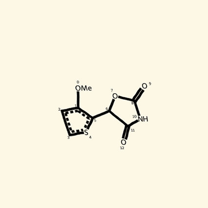 COc1ccsc1C1OC(=O)NC1=O